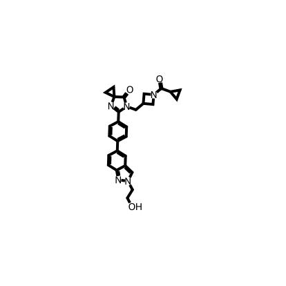 O=C(C1CC1)N1CC(CN2C(=O)C3(CC3)N=C2c2ccc(-c3ccc4nn(CCO)cc4c3)cc2)C1